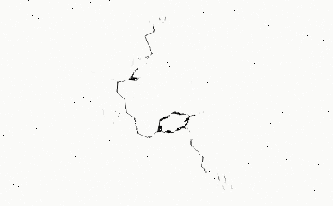 COCCCNC(=O)[C@H](C)C[C@H](O)[C@@H](N)C[C@H](Cc1ccc(OC)c(OCCCOC)c1)C(C)C.Cl